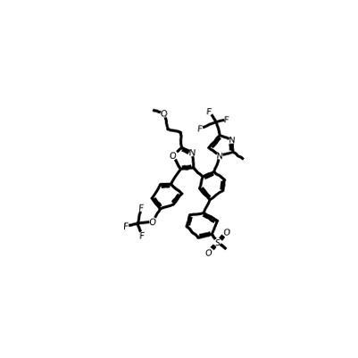 COCCc1nc(-c2cc(-c3cccc(S(C)(=O)=O)c3)ccc2-n2cc(C(F)(F)F)nc2C)c(-c2ccc(OC(F)(F)F)cc2)o1